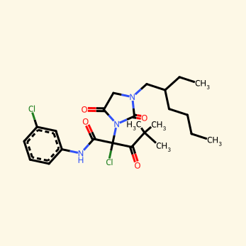 CCCCC(CC)CN1CC(=O)N(C(Cl)(C(=O)Nc2cccc(Cl)c2)C(=O)C(C)(C)C)C1=O